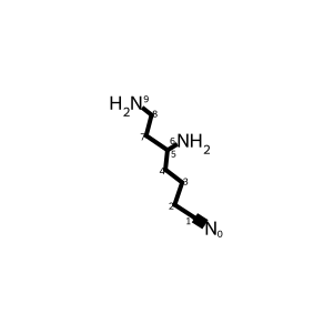 N#CCCCC(N)CCN